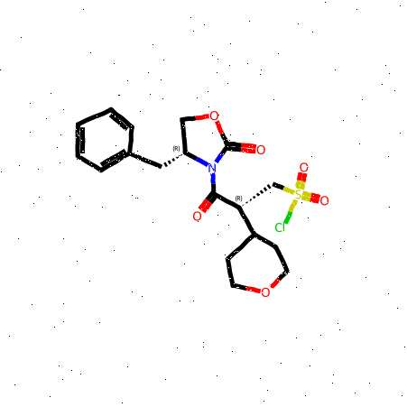 O=C1OC[C@@H](Cc2ccccc2)N1C(=O)[C@H](CS(=O)(=O)Cl)C1CCOCC1